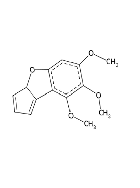 COc1cc2c(c(OC)c1OC)C1=CC=CC1O2